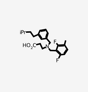 Cc1ccc(F)c(CN(CCC(=O)O)Cc2cccc(CCC(C)C)c2)c1F